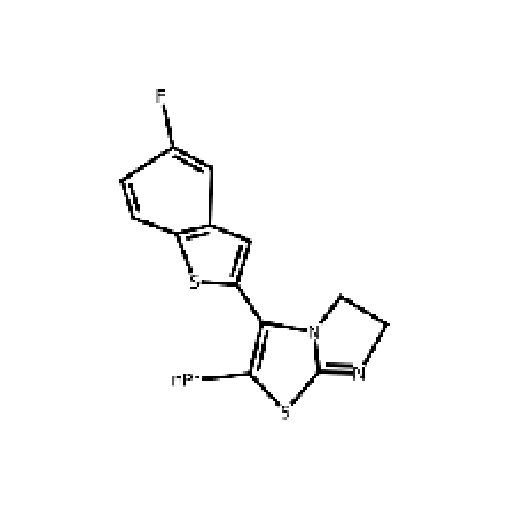 CCCC1=C(c2cc3cc(F)ccc3s2)N2CCN=C2S1